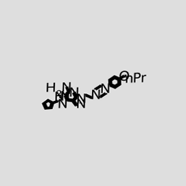 CCCOc1ccc(N2CCN(CCn3ncc4c3nc(N)n3nc(C5=CC=CC5)nc43)CC2)cc1